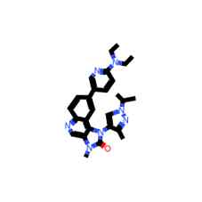 CCN(CC)c1ccc(-c2ccc3ncc4c(c3c2)n(-c2cn(C(C)C)nc2C)c(=O)n4C)cn1